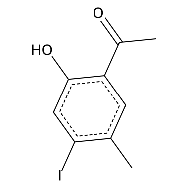 CC(=O)c1cc(C)c(I)cc1O